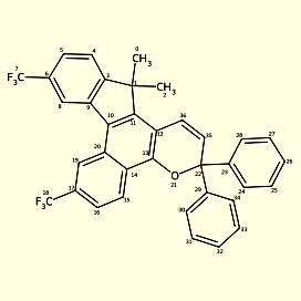 CC1(C)c2ccc(C(F)(F)F)cc2-c2c1c1c(c3ccc(C(F)(F)F)cc23)OC(c2ccccc2)(c2ccccc2)C=C1